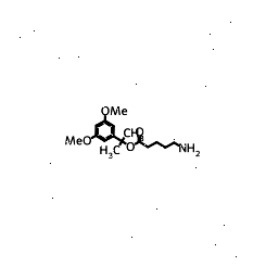 COc1cc(OC)cc(C(C)(C)OC(=O)CCCCN)c1